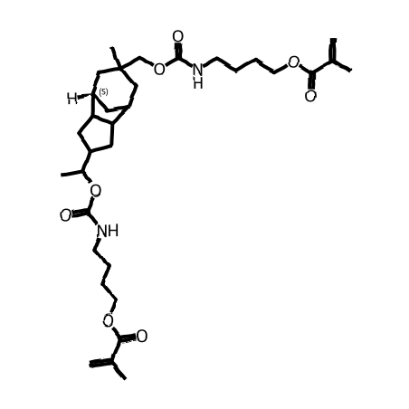 C=C(C)C(=O)OCCCCNC(=O)OCC1(C)CC2C[C@@H](C1)C1CC(C(C)OC(=O)NCCCCOC(=O)C(=C)C)CC21